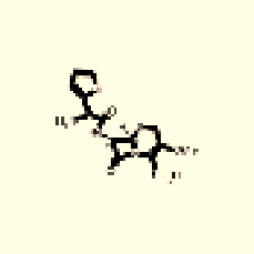 COC1=C(C(=O)O)N2C(=O)[C@@H](NC(=O)C(N)c3cccs3)[C@H]2SC1